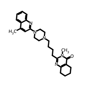 Cc1cc(N2CCN(CCCCc3nc4c(c(=O)n3C)CCCC4)CC2)nc2ccccc12